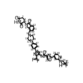 O=C1CCC(N2Cc3c(CN4CCN(c5ccc(-n6cc(NC(=O)c7coc(-c8ccnc(NCC(F)(F)F)c8)n7)c(C(F)F)n6)cc5)CC4)cccc3C2=O)C(=O)N1